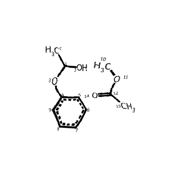 CC(O)Oc1ccccc1.COC(C)=O